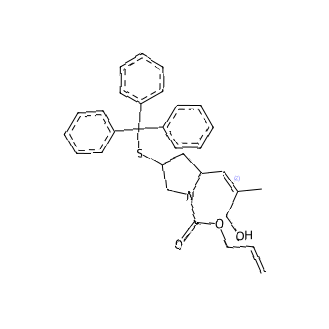 C=CCOC(=O)N1CC(SC(c2ccccc2)(c2ccccc2)c2ccccc2)CC1/C=C(/C)CO